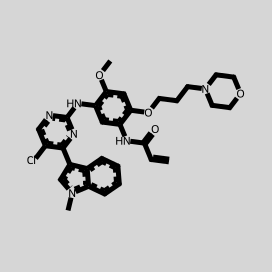 C=CC(=O)Nc1cc(Nc2ncc(Cl)c(-c3cn(C)c4ccccc34)n2)c(OC)cc1OCCCN1CCOCC1